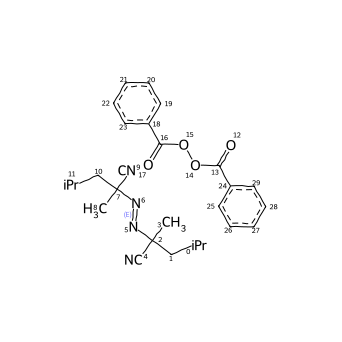 CC(C)CC(C)(C#N)/N=N/C(C)(C#N)CC(C)C.O=C(OOC(=O)c1ccccc1)c1ccccc1